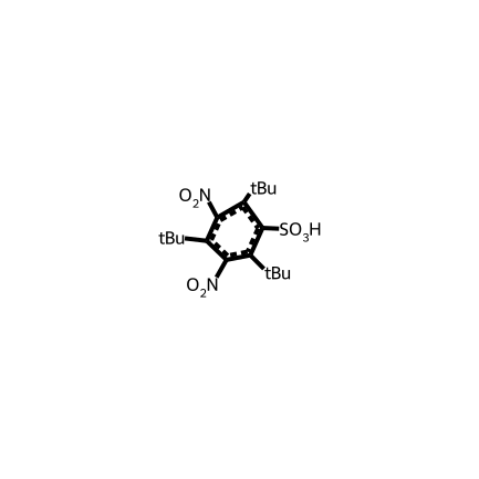 CC(C)(C)c1c([N+](=O)[O-])c(C(C)(C)C)c(S(=O)(=O)O)c(C(C)(C)C)c1[N+](=O)[O-]